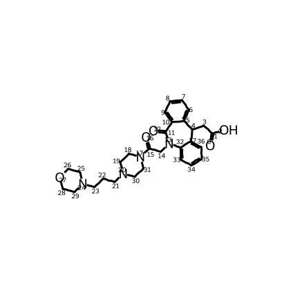 O=C(O)CC1c2ccccc2C(=O)N(CC(=O)N2CCN(CCCN3CCOCC3)CC2)c2ccccc21